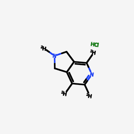 Cl.[2H]c1nc([2H])c2c(c1[2H])CN([2H])C2